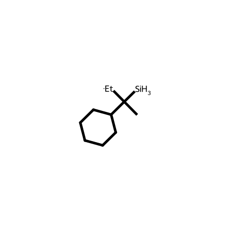 C[CH]C(C)([SiH3])C1CCCCC1